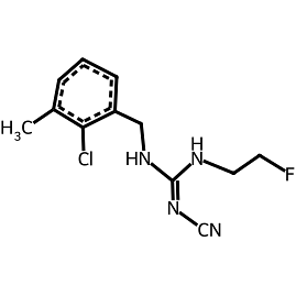 Cc1cccc(CNC(=NC#N)NCCF)c1Cl